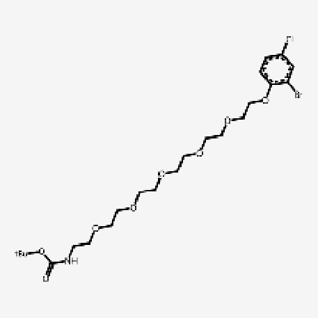 CC(C)(C)OC(=O)NCCOCCOCCOCCOCCOCCOc1ccc(Cl)cc1Br